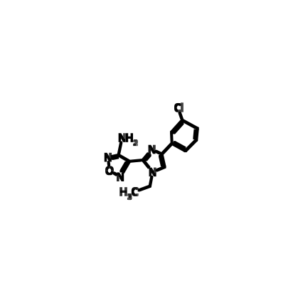 CCn1cc(-c2cccc(Cl)c2)nc1-c1nonc1N